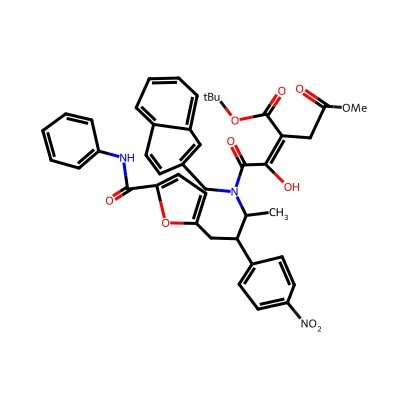 COC(=O)CC(C(=O)OC(C)(C)C)=C(O)C(=O)N(Cc1ccc2ccccc2c1)C(C)C(Cc1ccc(C(=O)Nc2ccccc2)o1)c1ccc([N+](=O)[O-])cc1